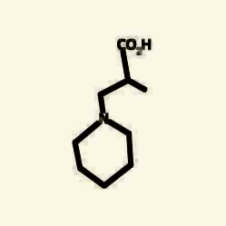 CC(CN1CCCCC1)C(=O)O